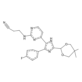 CC1(C)COC(c2nc(-c3ccc(F)cc3)c(-c3ccnc(NCCC#N)n3)[nH]2)OC1